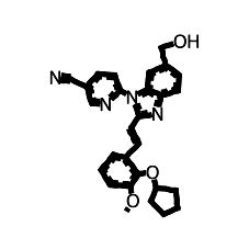 COc1cccc(/C=C/c2nc3ccc(CO)cc3n2-c2ccc(C#N)cn2)c1OC1CCCC1